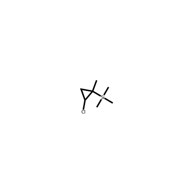 CC1([Si](C)(C)C)CC1Cl